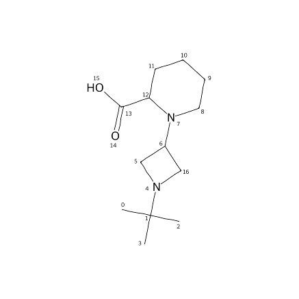 CC(C)(C)N1CC(N2CCCCC2C(=O)O)C1